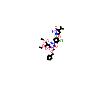 CCOC(=O)C(C(=O)OCC)c1nn(-c2cc(Cl)c(Oc3cc(C(C)C)c(=O)[nH]n3)c(Cl)c2)c(=O)n(COCc2ccccc2)c1=O